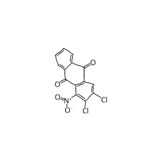 O=C1c2ccccc2C(=O)c2c1cc(Cl)c(Cl)c2[N+](=O)[O-]